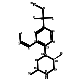 C/C=C\c1cc(C(C)(C)CF)ccc1N1CC(C)NC[C@H]1C